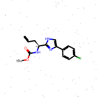 C=CC[C@H](NC(=O)OC(C)(C)C)c1nc(-c2ccc(F)cc2)c[nH]1